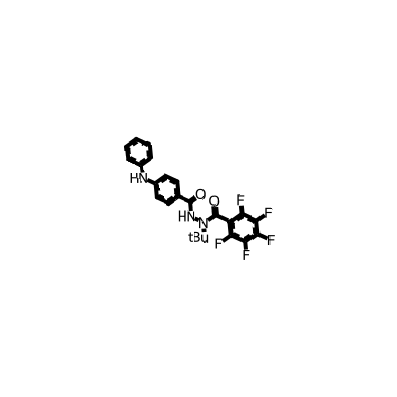 CC(C)(C)N(NC(=O)c1ccc(Nc2ccccc2)cc1)C(=O)c1c(F)c(F)c(F)c(F)c1F